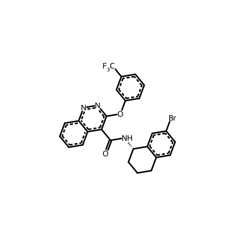 O=C(N[C@H]1CCCc2ccc(Br)cc21)c1c(Oc2cccc(C(F)(F)F)c2)nnc2ccccc12